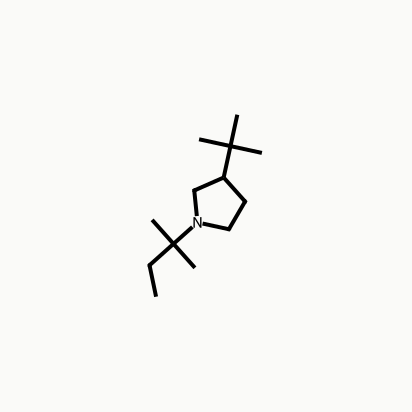 CCC(C)(C)N1CCC(C(C)(C)C)C1